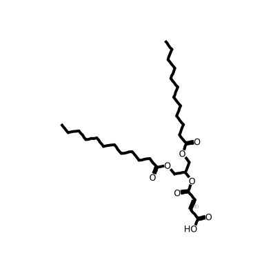 CCCCCCCCCCCC(=O)OCC(COC(=O)CCCCCCCCCCC)OC(=O)/C=C/C(=O)O